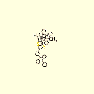 CC(C)(c1ccccc1)c1ccc2c(c1)B1c3cc(C(C)(C)c4ccccc4)ccc3Sc3cc(-c4cccc(-c5c6ccccc6c(-c6ccccc6)c6ccccc56)c4)cc(c31)S2